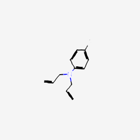 C=CCN(CC=C)c1ccc(C(C)=O)cc1